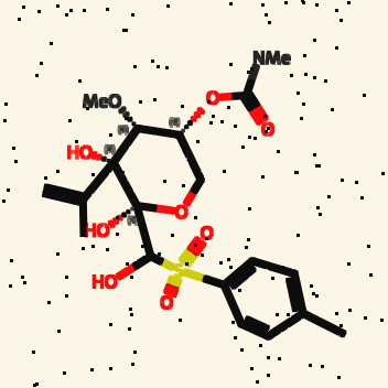 C=C(C)[C@@]1(O)[C@H](OC)[C@H](OC(=O)NC)CO[C@@]1(O)C(O)S(=O)(=O)c1ccc(C)cc1